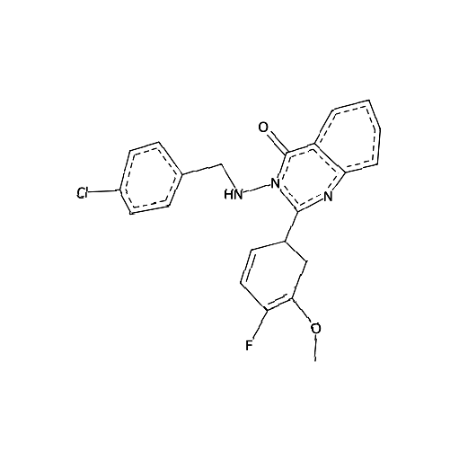 COC1=C(F)C=CC(c2nc3ccccc3c(=O)n2NCc2ccc(Cl)cc2)C1